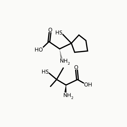 CC(C)(S)[C@H](N)C(=O)O.N[C@H](C(=O)O)C1(S)CCCC1